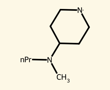 CCCN(C)C1CC[N]CC1